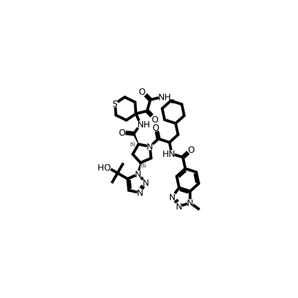 Cn1nnc2cc(C(=O)NC(CC3CCCCC3)C(=O)N3C[C@@H](n4nncc4C(C)(C)O)C[C@H]3C(=O)NC3(C(=O)C(N)=O)CCSCC3)ccc21